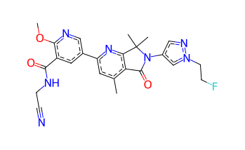 COc1ncc(-c2cc(C)c3c(n2)C(C)(C)N(c2cnn(CCF)c2)C3=O)cc1C(=O)NCC#N